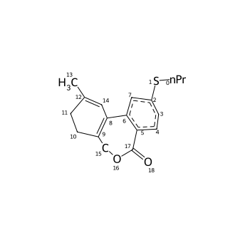 CCCSc1ccc2c(c1)C1=C(CCC(C)=C1)COC2=O